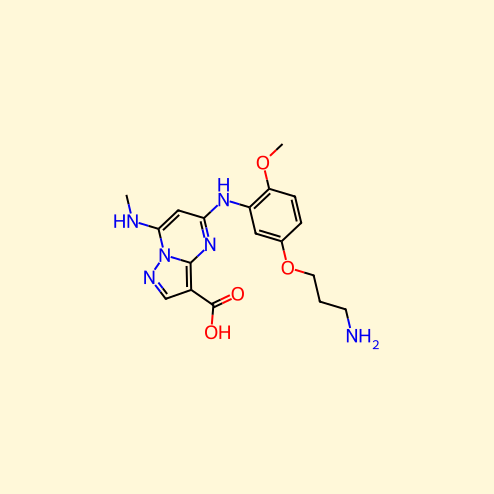 CNc1cc(Nc2cc(OCCCN)ccc2OC)nc2c(C(=O)O)cnn12